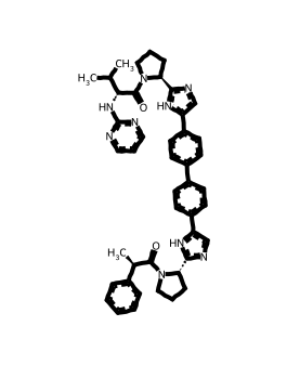 CC(C)[C@@H](Nc1ncccn1)C(=O)N1CCC[C@H]1c1ncc(-c2ccc(-c3ccc(-c4cnc([C@@H]5CCCN5C(=O)[C@H](C)c5ccccc5)[nH]4)cc3)cc2)[nH]1